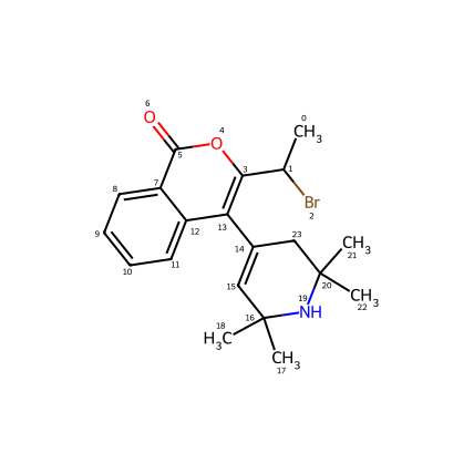 CC(Br)c1oc(=O)c2ccccc2c1C1=CC(C)(C)NC(C)(C)C1